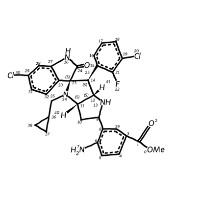 COC(=O)c1ccc(N)c(C2C[C@H]3[C@@H](N2)[C@H](c2cccc(Cl)c2F)[C@]2(C(=O)Nc4cc(Cl)ccc42)N3CC2CC2)c1